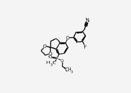 CCOP(C)(=O)c1ccc(Oc2cc(F)cc(C#N)c2)c2c1C1(CC2)OCCO1